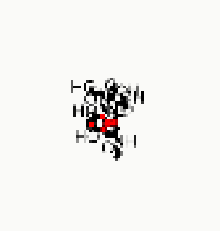 C=CC(=O)Nc1ccc(C[C@H](CN(CC(=O)O)CC(=O)O)N(CC(=O)O)[C@@H](C)CN(CC(=O)O)CC(=O)O)cc1